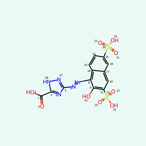 O=C(O)c1nc(N=Nc2c(O)c(S(=O)(=O)O)cc3cc(S(=O)(=O)O)ccc23)n[nH]1